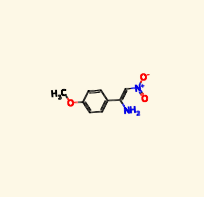 COc1ccc(/C(N)=C/[N+](=O)[O-])cc1